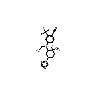 CCN(c1ccc(C#N)c(C(F)(F)F)c1)C1CC(n2cncn2)CCC1(C)C